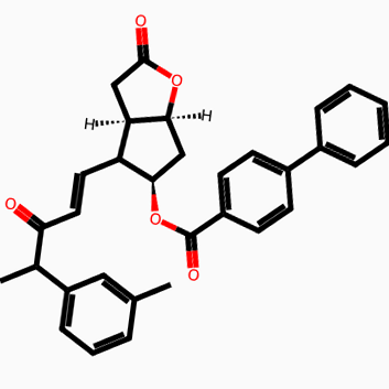 Cc1cccc(C(C)C(=O)/C=C/C2[C@H]3CC(=O)O[C@H]3C[C@H]2OC(=O)c2ccc(-c3ccccc3)cc2)c1